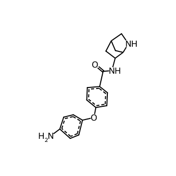 Nc1ccc(Oc2ccc(C(=O)NC3CC4CNC3C4)cc2)cc1